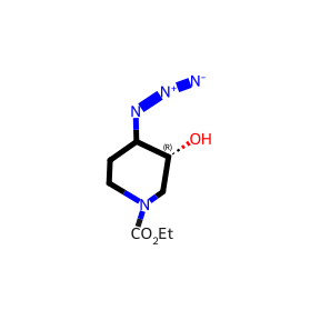 CCOC(=O)N1CCC(N=[N+]=[N-])[C@H](O)C1